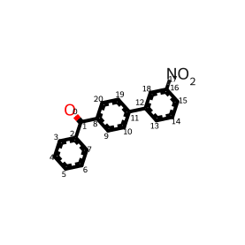 O=C(c1ccccc1)c1ccc(-c2cccc([N+](=O)[O-])c2)cc1